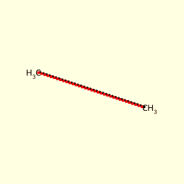 CCCCCCCCCCCCCCCCCCCCCCCCCCCCCCCCCCCCCCCCCCCCCCCCCCCCCCCCCCCCCCCCCCCCC